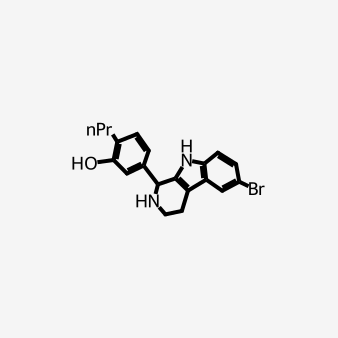 CCCc1ccc(C2NCCc3c2[nH]c2ccc(Br)cc32)cc1O